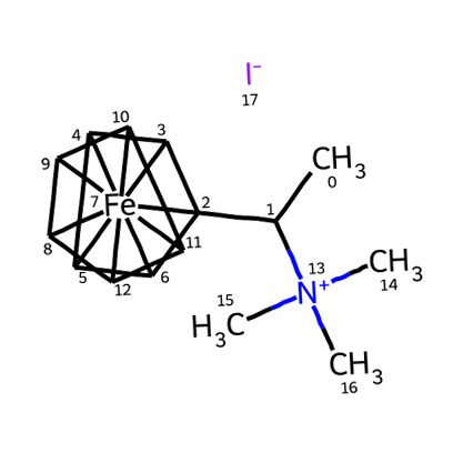 CC([C]12[CH]3[CH]4[CH]5[CH]1[Fe]45321678[CH]2[CH]1[CH]6[CH]7[CH]28)[N+](C)(C)C.[I-]